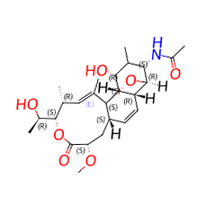 CO[C@H]1C[C@H]2C=C[C@H]3[C@H]4O[C@]2(/C(C)=C/[C@@H](C)[C@@H]([C@@H](C)O)OC1=O)[C@@H]3[C@H](O)C(C)[C@@H]4NC(C)=O